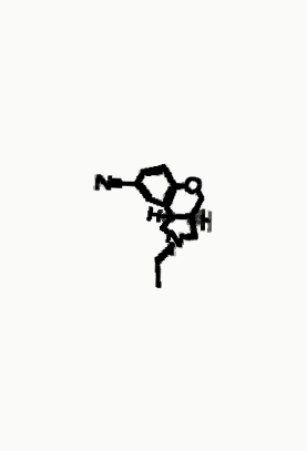 CCCN1C[C@@H]2COc3ccc(C#N)cc3[C@H]2C1